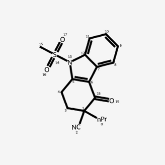 [CH2]CCC1(C#N)CCc2c(c3ccccc3n2S(C)(=O)=O)C1=O